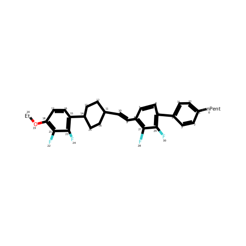 CCCCCc1ccc(-c2ccc(/C=C/C3CCC(c4ccc(OCC)c(F)c4F)CC3)c(F)c2F)cc1